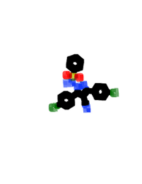 N#Cc1c(-c2ccc(Cl)cc2)nn(NS(=O)(=O)c2ccccc2)c1-c1ccc(Cl)cc1